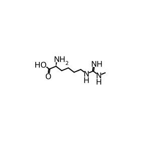 CNC(=N)NCCCC[C@H](N)C(=O)O